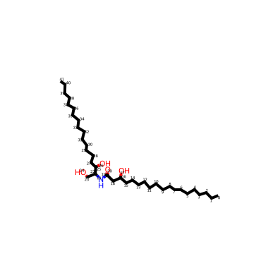 CCCCCCCCCCCCCCCCC(O)CC(=O)NC(CO)C(O)CCCCCCCCCCCCCCC